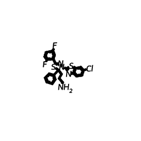 NCCCC1(c2ccccc2)SC(c2cc(F)ccc2F)=NN1c1nc2ccc(Cl)cc2s1